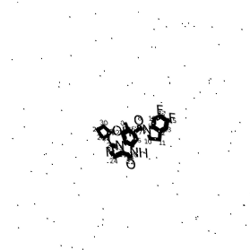 Cc1cc2c(cc1C(=O)N1CCc3cc(F)c(F)cc31)[nH]c(=O)c1cnc([C@H]3CCC[C@H]3O)n12